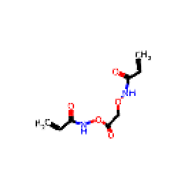 C=CC(=O)NOCC(=O)ONC(=O)C=C